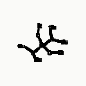 CCO[Si](OCC)(N(C(C)(C)C)C(C)(C)C)N(C(C)(C)C)C(C)(C)C